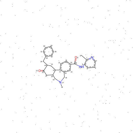 Cc1ncccc1NC(=O)c1ccc2c(c1)CN(C)CC1CC(=O)C(Cc3ccccc3)CC21